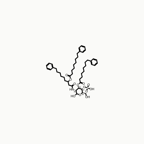 O=C(CC(CCCCCCc1ccccc1)OC(=O)CCCCCCCCc1ccccc1)N[C@H]1C(O)O[C@H](CO)[C@@H](OS(=O)(=O)O)[C@@H]1OC(=O)CCCCCCCCc1ccccc1